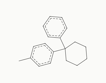 Cc1ccc(C2(c3ccccc3)CCCCC2)cc1